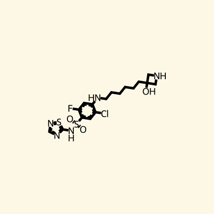 O=S(=O)(Nc1ncns1)c1cc(Cl)c(NCCCCCCC2(O)CNC2)cc1F